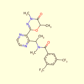 CC1OC(c2nccnc2C(C)N(C)C(=O)c2cc(C(F)(F)F)cc(C(F)(F)F)c2)=NN(C)C1=O